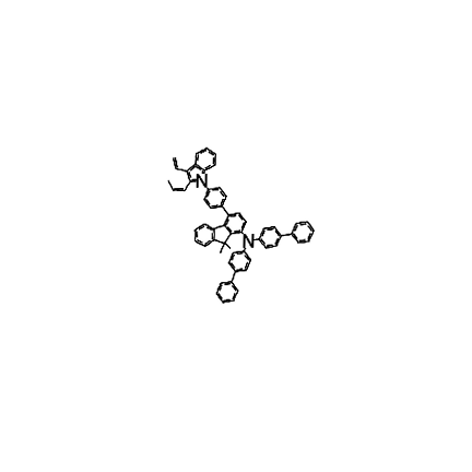 C=Cc1c(/C=C\C)n(-c2ccc(-c3ccc(N(c4ccc(-c5ccccc5)cc4)c4ccc(-c5ccccc5)cc4)c4c3-c3ccccc3C4(C)C)cc2)c2ccccc12